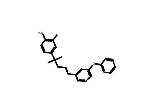 Cc1cc(C(C)(C)CCCc2cccc(Oc3ccccc3)c2)ccc1C(C)(C)C